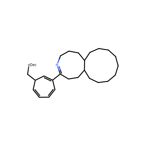 CCCCCCCCCCCC1C=CC=CC(/C2=N/CCCC3CCCCCCCCCC3CC2)=C1